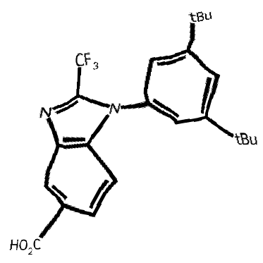 CC(C)(C)c1cc(-n2c(C(F)(F)F)nc3cc(C(=O)O)ccc32)cc(C(C)(C)C)c1